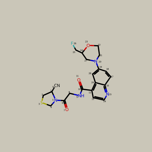 N#CC1CSCN1C(=O)CNC(=O)c1ccnc2ccc(N3CCOC(CF)C3)cc12